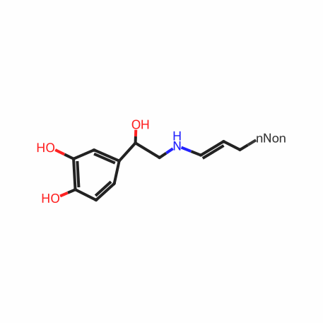 CCCCCCCCCCC=CNCC(O)c1ccc(O)c(O)c1